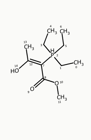 CC[PH](CC)(CC)/C(C(=O)OC)=C(\C)O